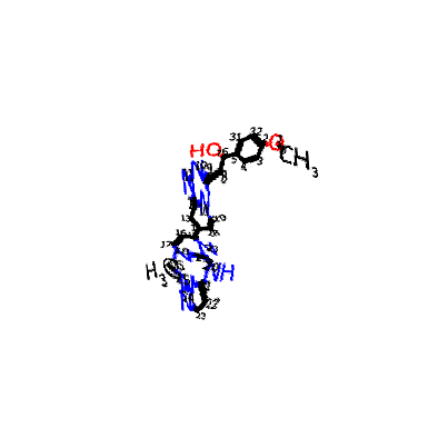 COc1ccc(C(O)Cc2nnc3cc(-c4ccnc(Nc5ccnn5C)n4)ccn23)cc1